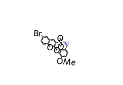 COc1ccc(/C=C\S(=O)(=O)c2cc3cc(Br)ccc3oc2=O)cc1